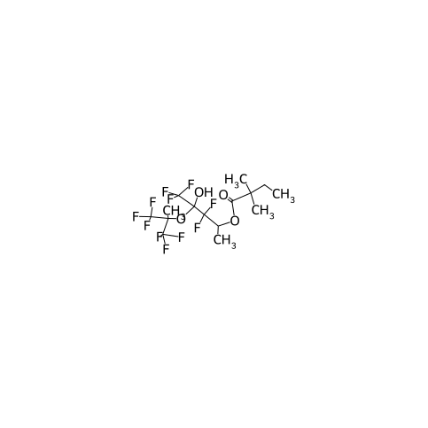 CCC(C)(C)C(=O)OC(C)C(F)(F)C(O)(OC(C)(C(F)(F)F)C(F)(F)F)C(F)(F)F